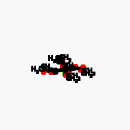 C=C(C)C(=C)OCCOc1c(C)c(-c2ccc(OCCOC(=O)C(=C)C)cc2)c(OC(=O)C(=C)C)c(F)c1C#Cc1ccc(OCCOC(=O)C(=C)C)cc1